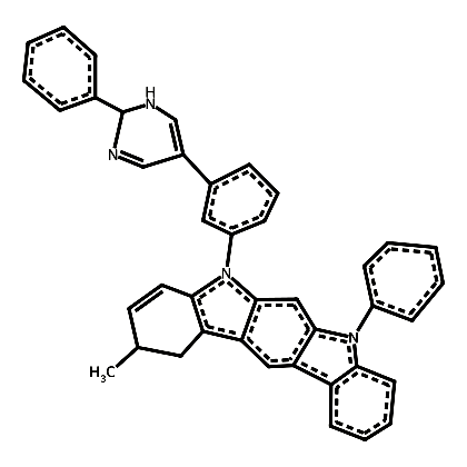 CC1C=Cc2c(c3cc4c5ccccc5n(-c5ccccc5)c4cc3n2-c2cccc(C3=CNC(c4ccccc4)N=C3)c2)C1